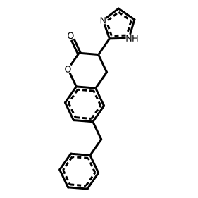 O=C1Oc2ccc(Cc3ccccc3)cc2CC1c1ncc[nH]1